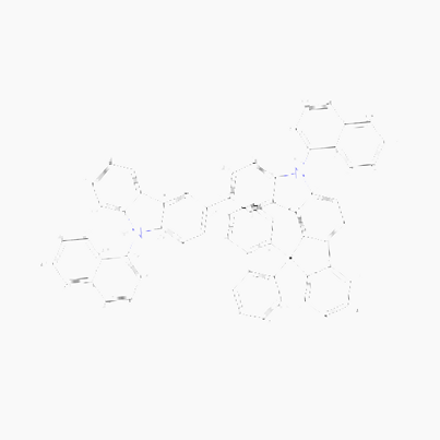 c1ccc(C2(c3ccccc3)c3ccccc3-c3ccc4c(c32)c2cc(-c3ccc5c(c3)c3ccccc3n5-c3cccc5ccccc35)ccc2n4-c2cccc3ccccc23)cc1